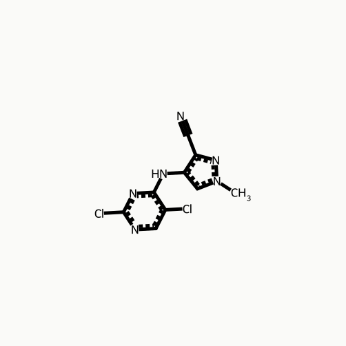 Cn1cc(Nc2nc(Cl)ncc2Cl)c(C#N)n1